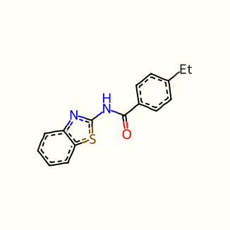 CCc1ccc(C(=O)Nc2nc3ccccc3s2)cc1